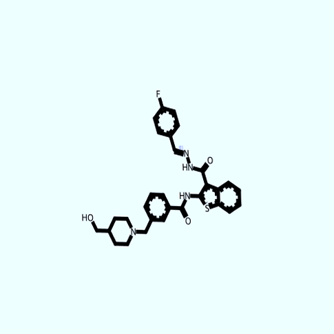 O=C(Nc1sc2ccccc2c1C(=O)N/N=C/c1ccc(F)cc1)c1cccc(CN2CCC(CO)CC2)c1